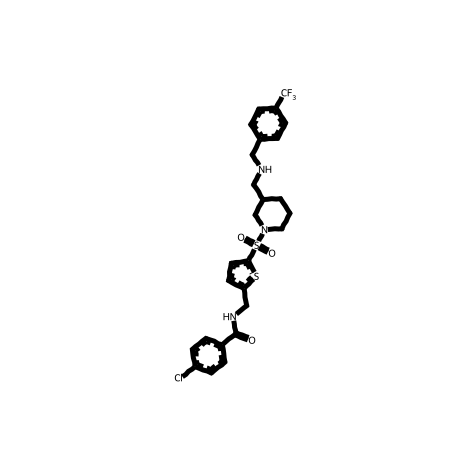 O=C(NCc1ccc(S(=O)(=O)N2CCCC(CNCc3ccc(C(F)(F)F)cc3)C2)s1)c1ccc(Cl)cc1